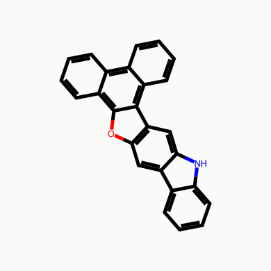 c1ccc2c(c1)[nH]c1cc3c(cc12)oc1c2ccccc2c2ccccc2c31